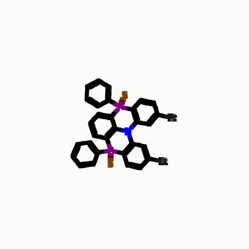 CCc1ccc2c(c1)N1c3cc(CC)ccc3P(=S)(c3ccccc3)c3cccc(c31)P2(=S)c1ccccc1